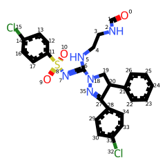 O=CNCCN/C(=N\S(=O)(=O)c1ccc(Cl)cc1)N1CC(c2ccccc2)C(c2ccc(Cl)cc2)=N1